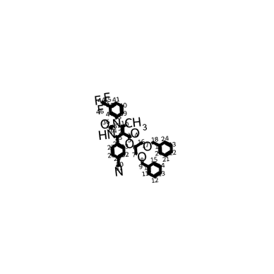 CC1=C(C(=O)OC(COCc2ccccc2)COCc2ccccc2)C(c2ccc(C#N)cc2)NC(=O)N1c1cccc(C(F)(F)F)c1